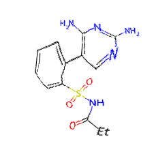 CCC(=O)NS(=O)(=O)c1ccccc1-c1cnc(N)nc1N